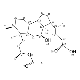 CC(=O)O[C@@H](C)CC[C@]1(C)C2C[C@H](O)[C@@]3(C)C(CCC3[C@H](C)CCC(=O)O)C2CC[C@@H]1C